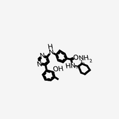 Cc1cccc(-c2cc(Nc3ccc(C(=O)N[C@@H]4CCCC[C@H]4N)cc3)ncn2)c1O